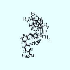 C[C@@H]1[C@@H](NC(=O)[C@@H]2[C@H]([C@H](C)O)[C@H](CO)ON2Cc2cccc(-c3ccc(C(=O)O)cc3)c2)C[C@H]2C[C@@H]1C2(C)C